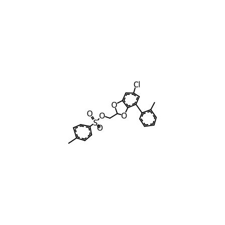 Cc1ccc(S(=O)(=O)OCC2Oc3cc(Cl)cc(-c4ccccc4C)c3O2)cc1